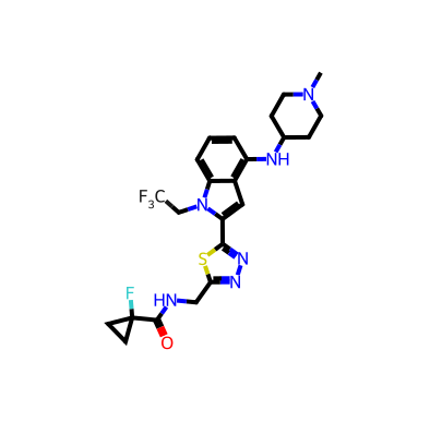 CN1CCC(Nc2cccc3c2cc(-c2nnc(CNC(=O)C4(F)CC4)s2)n3CC(F)(F)F)CC1